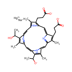 CC1=C(CCC(=O)[O-])c2cc3[nH]c(cc4nc(cc5[nH]c(cc1n2)c(C)c5C(C)[O-])C(C)=C4C(C)O)c(C)c3CCC(=O)[O-].[Hg+2].[Na+]